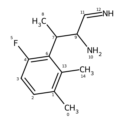 Cc1ccc(F)c(C(C)C(N)C=N)c1C